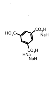 O=C(O)c1cc(C(=O)O)cc(C(=O)O)c1.[NaH].[NaH].[NaH]